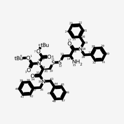 CC(C)(C)OC(=O)N(C(=O)OC(C)(C)C)[C@@H](CSSCC(N)C(=O)N(Cc1ccccc1)Cc1ccccc1)C(=O)N(Cc1ccccc1)Cc1ccccc1